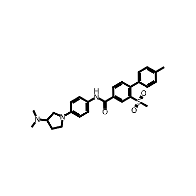 Cc1ccc(-c2ccc(C(=O)Nc3ccc(N4CCC(N(C)C)C4)cc3)cc2S(C)(=O)=O)cc1